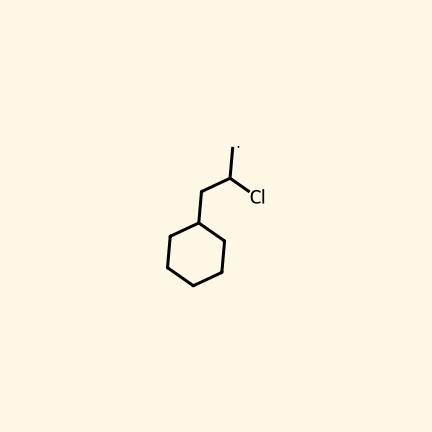 [CH2]C(Cl)CC1CCCCC1